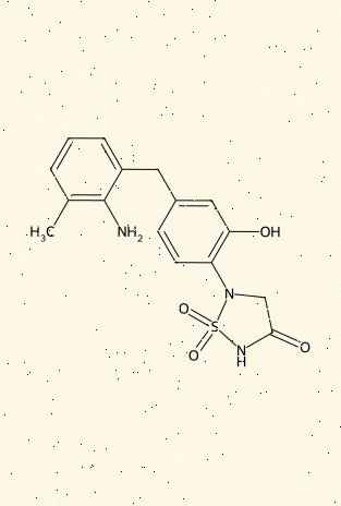 Cc1cccc(Cc2ccc(N3CC(=O)NS3(=O)=O)c(O)c2)c1N